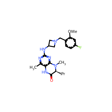 COc1cc(F)ccc1CN1CC(Nc2nc(C)c3c(n2)N(C)[C@@H](C(C)C)C(=O)N3)C1